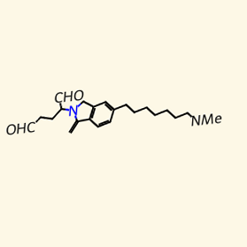 C=C1c2ccc(CCCCCCCNC)cc2CN1C(C=O)CCC=O